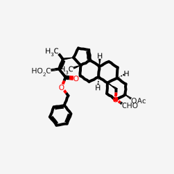 CC(=O)O[C@H]1CC[C@@]2(COC=O)[C@@H](CC[C@H]3C4=CC[C@H](C(C)=C(C(=O)O)C(=O)OCc5ccccc5)[C@@]4(C)CC[C@@H]32)C1